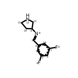 Fc1cc(F)cc(/C=N/C2CCNC2)c1